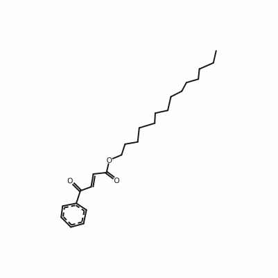 CCCCCCCCCCCCCCOC(=O)C=CC(=O)c1ccccc1